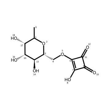 CC1O[C@H](COc2c(O)c(=O)c2=O)[C@@H](O)[C@H](O)[C@@H]1O